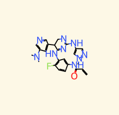 C=CC(=O)Nc1ccc(F)c(NC2=NC(Nc3cnn(C)c3)=NCC2c2cncc(N(C)C)c2)c1